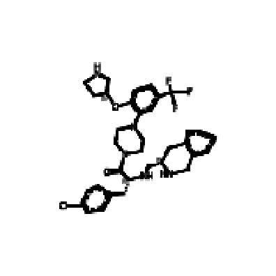 O=C([C@@H](Cc1ccc(Cl)cc1)NC[C@H]1Cc2ccccc2CN1)N1CCN(c2cc(C(F)(F)F)ccc2O[C@H]2CCNC2)CC1